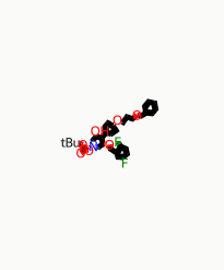 CC(C)(C)OC(=O)ON1CC(O)C(c2ccc(OCCCOCc3ccccc3)cc2)C(OCc2cc(F)ccc2F)C1